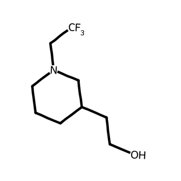 OCCC1CCCN(CC(F)(F)F)C1